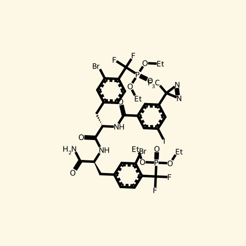 CCOP(=O)(OCC)C(F)(F)c1ccc(C[C@H](NC(=O)[C@H](Cc2ccc(C(F)(F)P(=O)(OCC)OCC)c(Br)c2)NC(=O)c2cc(I)cc(C3(C(F)(F)F)N=N3)c2)C(N)=O)cc1Br